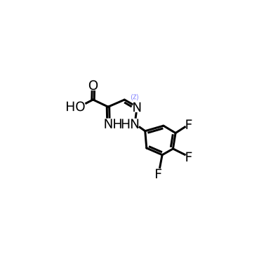 N=C(/C=N\Nc1cc(F)c(F)c(F)c1)C(=O)O